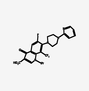 CC(C)n1cc(C(=O)O)c(=O)c2cc(F)c(N3CCN(c4ccccn4)CC3)c(C(F)(F)F)c21